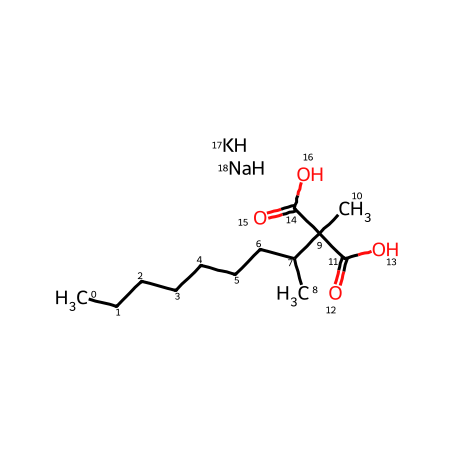 CCCCCCCC(C)C(C)(C(=O)O)C(=O)O.[KH].[NaH]